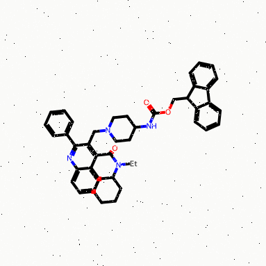 CCN(C(=O)c1c(CN2CCC(NC(=O)OCC3c4ccccc4-c4ccccc43)CC2)c(-c2ccccc2)nc2ccccc12)C1CCCCC1